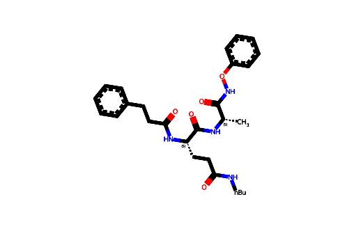 CCCCNC(=O)CC[C@H](NC(=O)CCc1ccccc1)C(=O)N[C@@H](C)C(=O)NOc1ccccc1